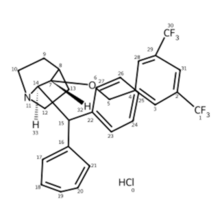 Cl.FC(F)(F)c1cc(CO[C@H]2C3CCN(CC3)[C@@H]2C(c2ccccc2)c2ccccc2)cc(C(F)(F)F)c1